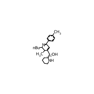 CCCCC1N=C(c2ccc(C)cc2)C=C([C@H](O)[C@@H]2CCCCN2)C1C